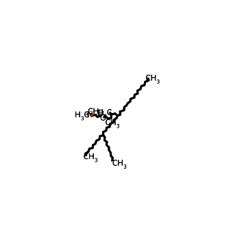 CCCCCCCCCCCCCCCCCCC(CCCCCCCCC(CCCCCCCCCC)CCCCCCCCCCC)CC(C)CC(C)COC(=O)CCCN(C)C